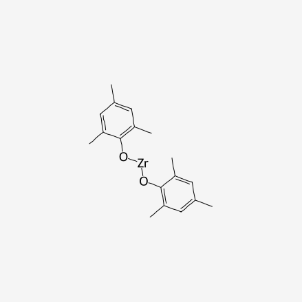 Cc1cc(C)c([O][Zr][O]c2c(C)cc(C)cc2C)c(C)c1